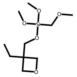 CCC1(CO[Si](COC)(OC)OC)COC1